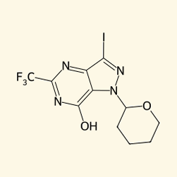 Oc1nc(C(F)(F)F)nc2c(I)nn(C3CCCCO3)c12